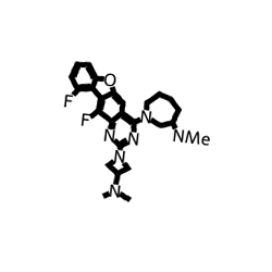 CNC1CCCCN(c2nc(N3CC(N(C)C)C3)nc3c(F)c4c(cc23)oc2cccc(F)c24)C1